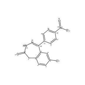 O=C1Cc2ccc(Cl)cc2C(c2ccc([N+](=O)[O-])cc2)=NN1